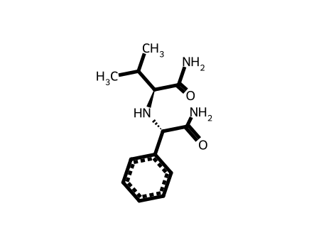 CC(C)[C@H](N[C@H](C(N)=O)c1ccccc1)C(N)=O